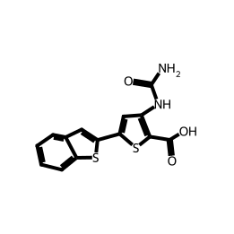 NC(=O)Nc1cc(-c2cc3ccccc3s2)sc1C(=O)O